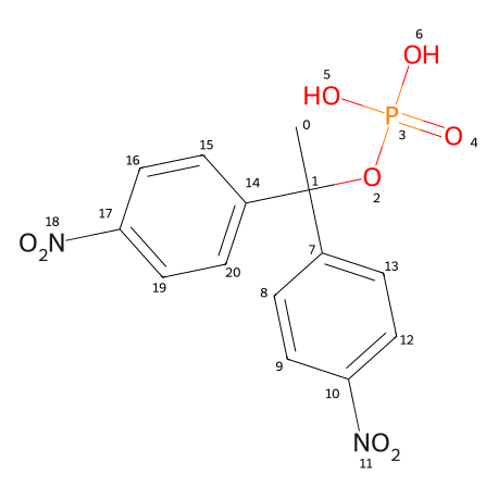 CC(OP(=O)(O)O)(c1ccc([N+](=O)[O-])cc1)c1ccc([N+](=O)[O-])cc1